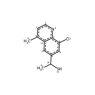 Cc1ccnc2c(Cl)cc(C(C)S)cc12